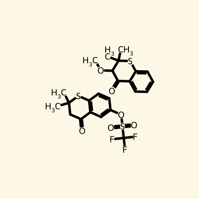 CC1(C)CC(=O)c2cc(OS(=O)(=O)C(F)(F)F)ccc2S1.COC1C(=O)c2ccccc2SC1(C)C